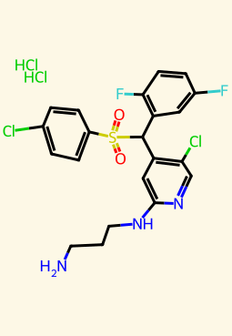 Cl.Cl.NCCCNc1cc(C(c2cc(F)ccc2F)S(=O)(=O)c2ccc(Cl)cc2)c(Cl)cn1